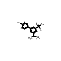 CC(C)c1cc(-c2ccc(F)cc2)cc(C(F)(F)F)c1